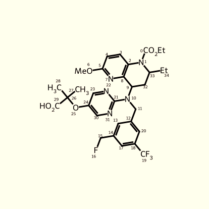 CCOC(=O)N1c2ccc(OC)nc2C(N(Cc2cc(CF)cc(C(F)(F)F)c2)c2ncc(OC(C)(C)C(=O)O)cn2)CC1CC